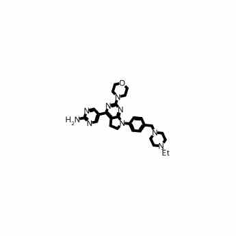 CCN1CCN(Cc2ccc(N3CCc4c(-c5cnc(N)nc5)nc(N5CCOCC5)nc43)cc2)CC1